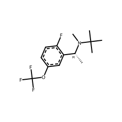 C[C@H](c1cc(OC(F)(F)F)ccc1F)N(C)C(C)(C)C